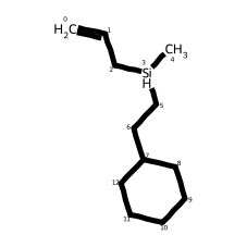 C=CC[SiH](C)CCC1CCCCC1